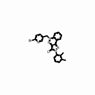 Cc1cccc(-n2nc3c4ccccc4n(Cc4ccc(Br)nc4)nc-3c2=O)c1C